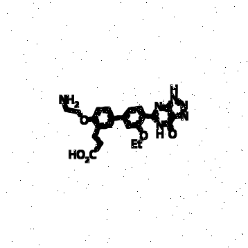 CCOc1cc(-c2ccc(OCCN)c(CCC(=O)O)c2)ccc1-c1nc2[nH]nnc2c(=O)[nH]1